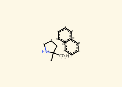 CC1(C(=O)O)CCCN1.c1ccc2ccccc2c1